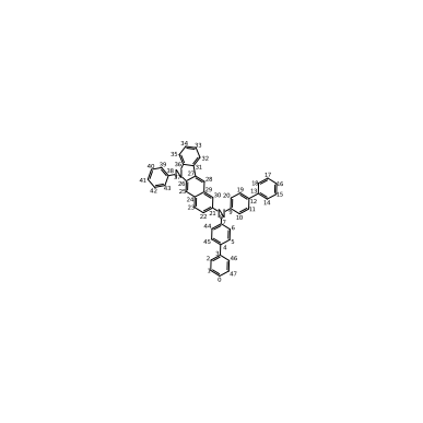 c1ccc(-c2ccc(N(c3ccc(-c4ccccc4)cc3)c3ccc4cc5c(cc4c3)c3ccccc3n5-c3ccccc3)cc2)cc1